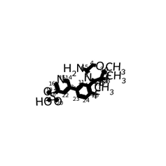 CC1(C)OCC(N)=N[C@](C)(c2cc(-c3cncc(S(=O)(=O)O)c3)ccc2F)C1(F)F